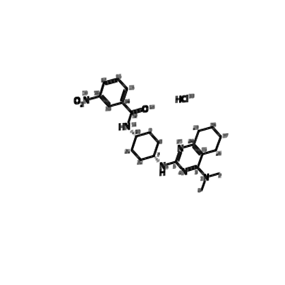 CN(C)c1nc(N[C@H]2CC[C@@H](NC(=O)c3cccc([N+](=O)[O-])c3)CC2)nc2c1CCCC2.Cl